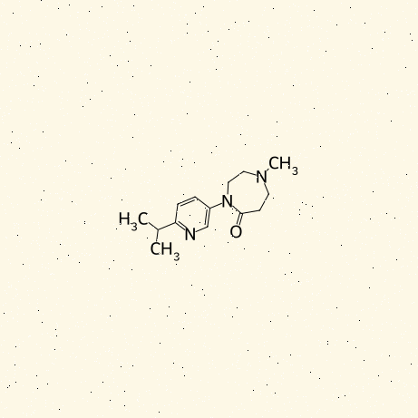 CC(C)c1ccc(N2CCN(C)CCC2=O)cn1